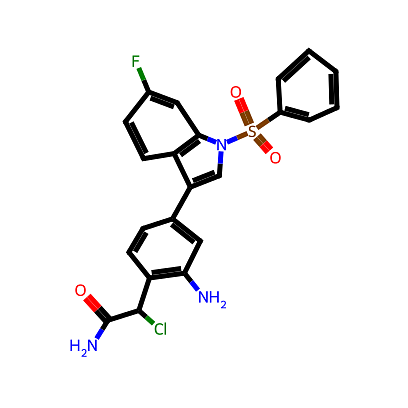 NC(=O)C(Cl)c1ccc(-c2cn(S(=O)(=O)c3ccccc3)c3cc(F)ccc23)cc1N